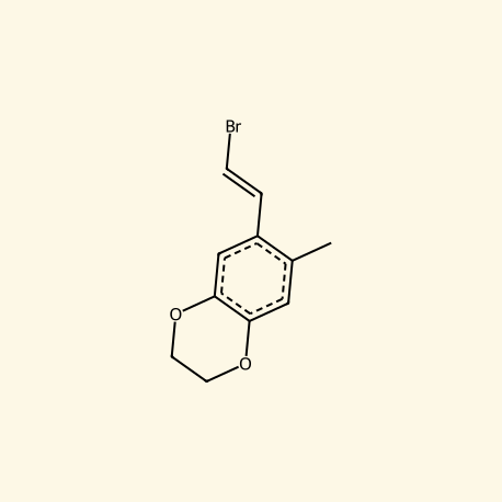 Cc1cc2c(cc1C=CBr)OCCO2